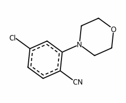 N#Cc1ccc(Cl)cc1N1CCOCC1